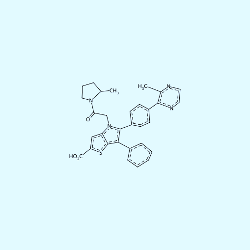 Cc1nccnc1-c1ccc(-c2c(-c3ccccc3)c3sc(C(=O)O)cc3n2CC(=O)N2CCCC2C)cc1